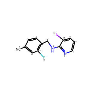 N#Cc1ccc(CNc2ncccc2I)c(F)c1